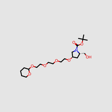 CC(C)(C)OC(=O)N1C[C@H](OCCOCCOCCOC2CCCCO2)C[C@H]1CO